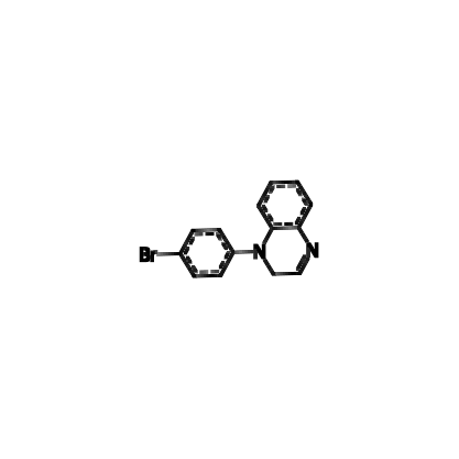 Brc1ccc(N2CC=Nc3ccccc32)cc1